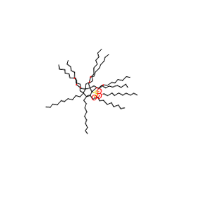 CCCCCCCCCCOS(=O)(=O)C1(CCCCCCCCCC)C(CCCCCCCCCC)=C(CCCCCCCCCC)C(CCCCCCCCCC)(CCCCCCCCCC)C(CCCCCCCCCC)(CCCCCCCCCC)C1(CCCCCCCCCC)CCCCCCCCCC